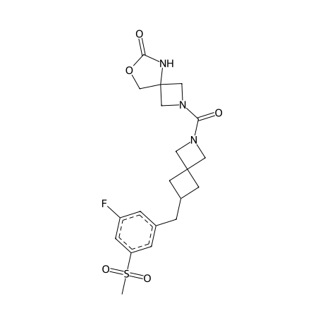 CS(=O)(=O)c1cc(F)cc(CC2CC3(C2)CN(C(=O)N2CC4(COC(=O)N4)C2)C3)c1